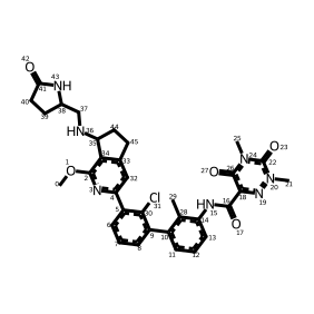 COc1nc(-c2cccc(-c3cccc(NC(=O)c4nn(C)c(=O)n(C)c4=O)c3C)c2Cl)cc2c1C(NCC1CCC(=O)N1)CC2